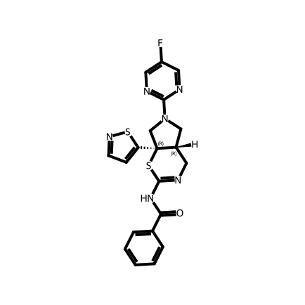 O=C(NC1=NC[C@H]2CN(c3ncc(F)cn3)C[C@]2(c2ccns2)S1)c1ccccc1